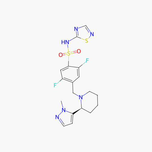 Cn1nccc1[C@@H]1CCCCN1Cc1cc(F)c(S(=O)(=O)Nc2ncns2)cc1F